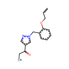 C=CCOc1ccccc1Cn1cc(C(=O)CC#N)cn1